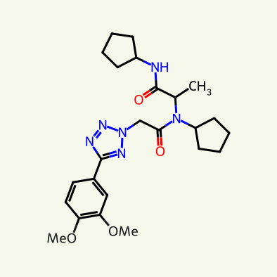 COc1ccc(-c2nnn(CC(=O)N(C3CCCC3)C(C)C(=O)NC3CCCC3)n2)cc1OC